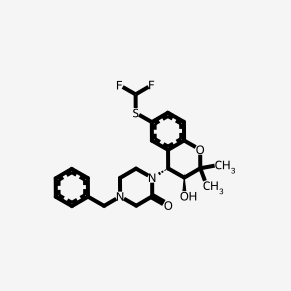 CC1(C)Oc2ccc(SC(F)F)cc2[C@@H](N2CCN(Cc3ccccc3)CC2=O)[C@@H]1O